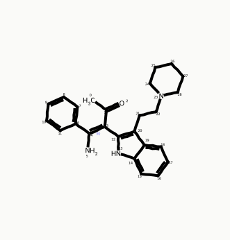 CC(=O)/C(=C(/N)c1ccccc1)c1[nH]c2ccccc2c1CCN1CCCCC1